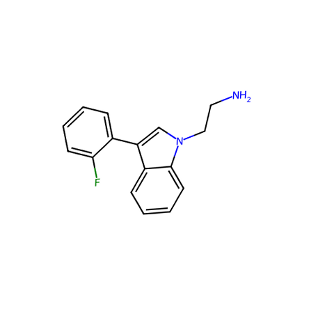 NCCn1cc(-c2ccccc2F)c2ccccc21